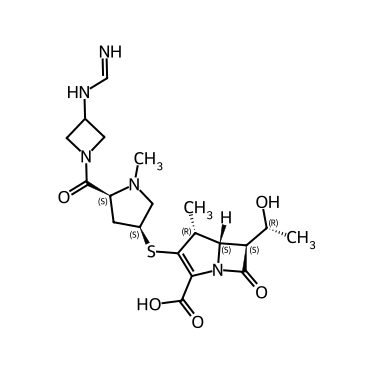 C[C@@H](O)[C@H]1C(=O)N2C(C(=O)O)=C(S[C@H]3C[C@@H](C(=O)N4CC(NC=N)C4)N(C)C3)[C@H](C)[C@H]12